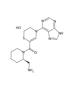 Cl.NC[C@H]1CCCCN1C(=O)C1=CN(c2ncnc3[nH]cnc23)CCS1